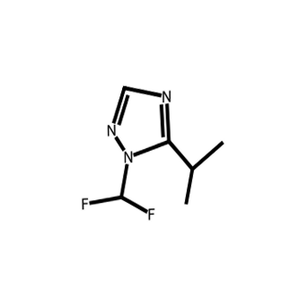 CC(C)c1ncnn1C(F)F